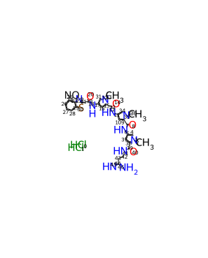 Cl.Cl.Cn1cc(NC(=O)c2cc(NC(=O)c3cc(NC(=O)c4nc5c([N+](=O)[O-])cccc5s4)cn3C)cn2C)cc1C(=O)NCCC(=N)N